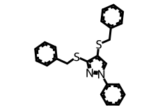 c1ccc(CSc2cn(-c3ccccc3)nc2SCc2ccccc2)cc1